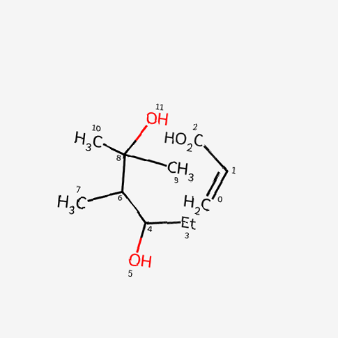 C=CC(=O)O.CCC(O)C(C)C(C)(C)O